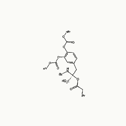 CCCOC(=O)Oc1ccc(C[C@](NC(C)CC)(OC(=O)CC(C)C)C(=O)O)cc1OC(=O)OCCC